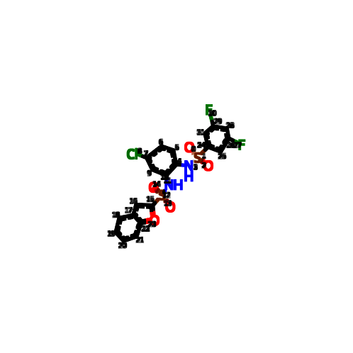 O=S(=O)(Nc1ccc(Cl)cc1NS(=O)(=O)c1cc2ccccc2o1)c1cc(F)cc(F)c1